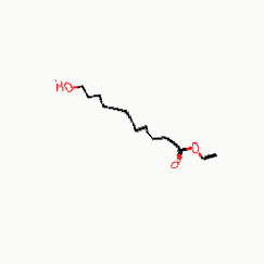 C=COC(=O)CCCCCCCCCO